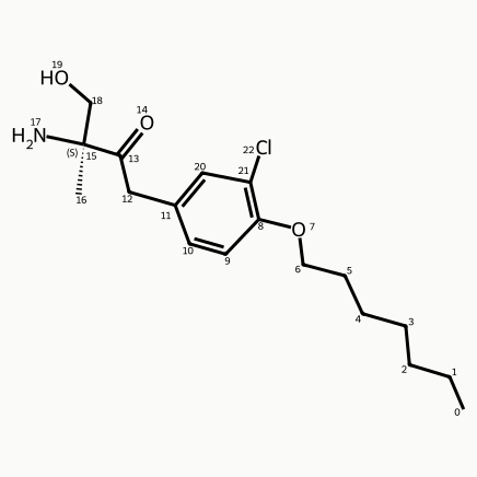 CCCCCCCOc1ccc(CC(=O)[C@@](C)(N)CO)cc1Cl